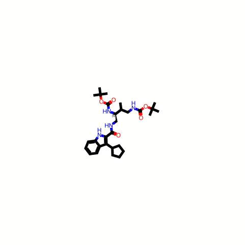 CC(CNC(=O)OC(C)(C)C)[C@@H](CNC(=O)c1[nH]c2ccccc2c1C1CCCC1)NC(=O)OC(C)(C)C